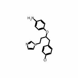 Nc1ccc(OC(CCn2ccnc2)Cc2ccc(Cl)cc2)cc1